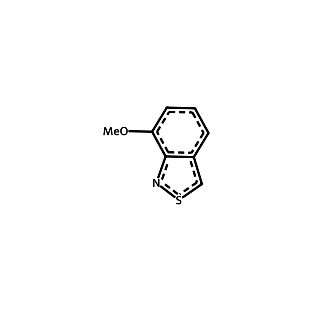 COc1cccc2csnc12